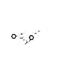 O=C(O)CNC(=O)Nc1ccc(C[C@@H](CO)NC[C@@H](COc2ccccc2)OC(=O)C(F)(F)F)cc1